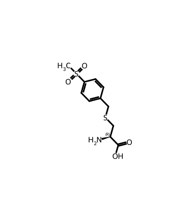 CS(=O)(=O)c1ccc(CSC[C@H](N)C(=O)O)cc1